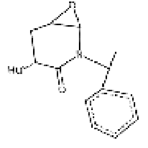 CC(c1ccccc1)N1C(=O)[C@H](O)CC2OC21